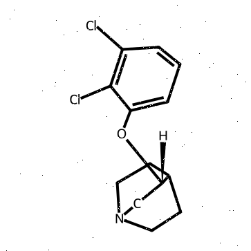 Clc1cccc(O[C@H]2CN3CCC2CC3)c1Cl